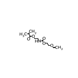 C=COCCOC(=O)NCCOC(=O)C(=C)C